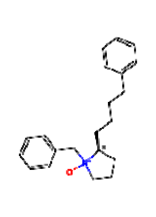 [O-][N+]1(Cc2ccccc2)CCC[C@@H]1CCCCc1ccccc1